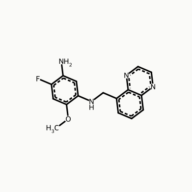 COc1cc(F)c(N)cc1NCc1cccc2nccnc12